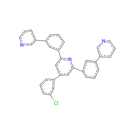 Clc1cccc(-c2cc(-c3cccc(-c4cccnc4)c3)nc(-c3cccc(-c4cccnc4)c3)c2)c1